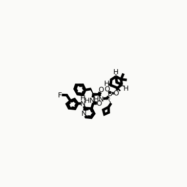 CC1(C)[C@@H]2C[C@H]3OB([C@H](CC4CCC4)NC(=O)[C@H](Cc4ccccc4)NC(=O)c4cccnc4Nc4cccc(CF)c4)O[C@@]3(C)[C@H]1C2